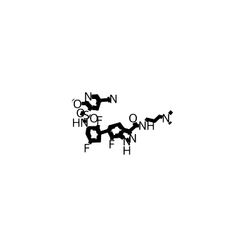 COc1ncc(C#N)cc1S(=O)(=O)Nc1cc(F)cc(-c2ccc3c(C(=O)NCCCN(C)C)n[nH]c3c2F)c1F